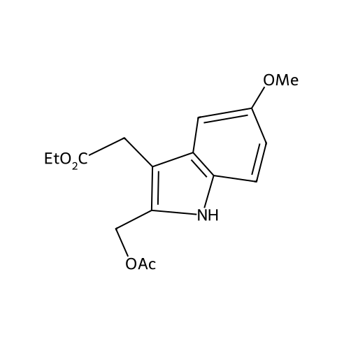 CCOC(=O)Cc1c(COC(C)=O)[nH]c2ccc(OC)cc12